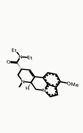 CCN(CC)C(=O)[C@@H]1C=C2c3ccc(OC)c4ccn(c34)C[C@H]2N(C)C1